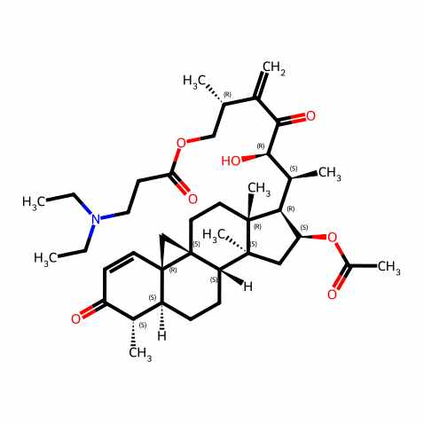 C=C(C(=O)[C@H](O)[C@@H](C)[C@H]1[C@@H](OC(C)=O)C[C@@]2(C)[C@@H]3CC[C@H]4[C@H](C)C(=O)C=C[C@@]45C[C@@]35CC[C@]12C)[C@@H](C)COC(=O)CCN(CC)CC